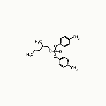 CCCC(C)COP(=O)(Oc1ccc(C)cc1)Oc1ccc(C)cc1